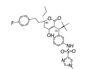 CCC[C@@]1(CCc2ccc(F)cc2)CC(O)=C([C@H](c2cccc(NS(=O)(=O)c3cn(C)cn3)c2)C(C)(C)C)C(=O)O1